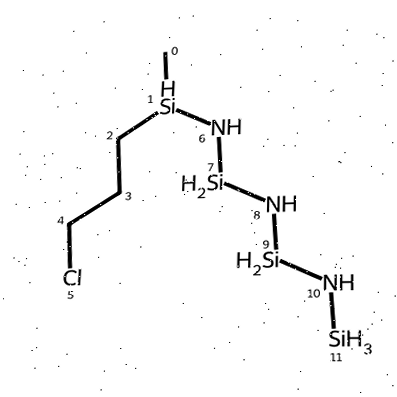 C[SiH](CCCCl)N[SiH2]N[SiH2]N[SiH3]